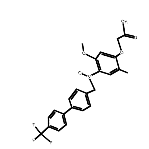 COc1cc(OCC(=O)O)c(C)cc1[S+]([O-])Cc1ccc(-c2ccc(C(F)(F)F)cc2)cc1